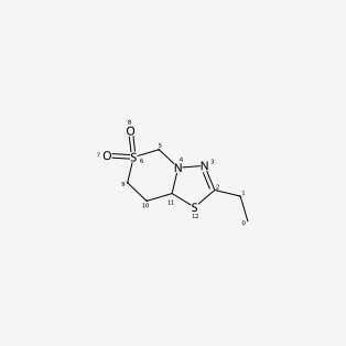 CCC1=NN2CS(=O)(=O)CCC2S1